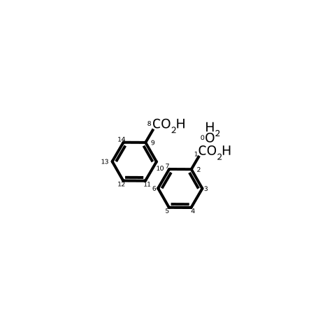 O.O=C(O)c1ccccc1.O=C(O)c1ccccc1